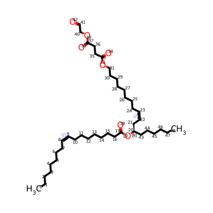 CCCCCCCC/C=C\CCCCCCCC(=O)O[C@@H](C/C=C\CCCCCCCCOC(=O)CCC(=O)OCC=O)CCCCCC